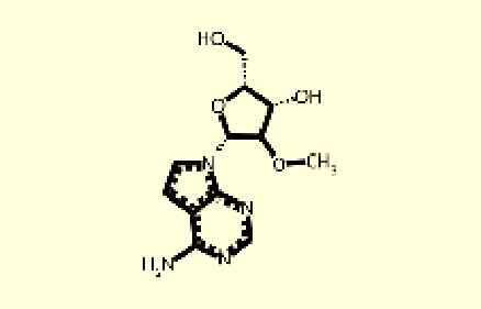 COC1[C@@H](O)[C@@H](CO)O[C@H]1n1ccc2c(N)ncnc21